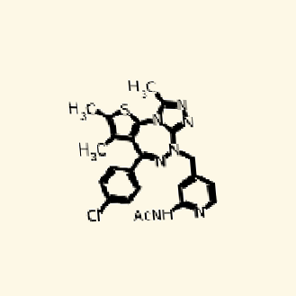 CC(=O)Nc1cc(CN2N=C(c3ccc(Cl)cc3)c3c(sc(C)c3C)-n3c(C)nnc32)ccn1